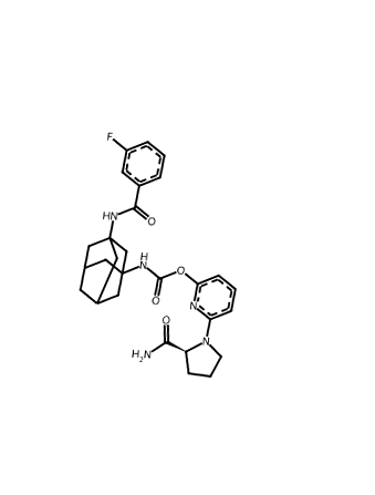 NC(=O)[C@@H]1CCCN1c1cccc(OC(=O)NC23CC4CC(C2)CC(NC(=O)c2cccc(F)c2)(C4)C3)n1